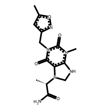 Cc1cc(Cn2c(=O)c3c(n(C)c2=O)NCN3[C@@H](C)C(N)=O)no1